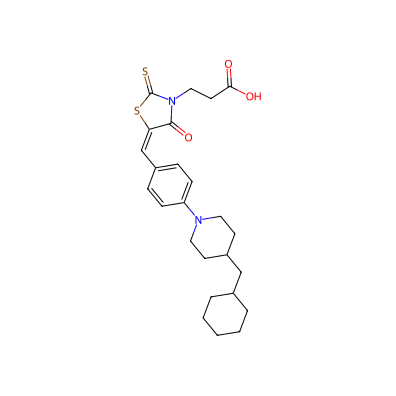 O=C(O)CCN1C(=O)/C(=C\c2ccc(N3CCC(CC4CCCCC4)CC3)cc2)SC1=S